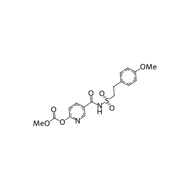 COC(=O)Oc1ccc(C(=O)NS(=O)(=O)CCc2ccc(OC)cc2)cn1